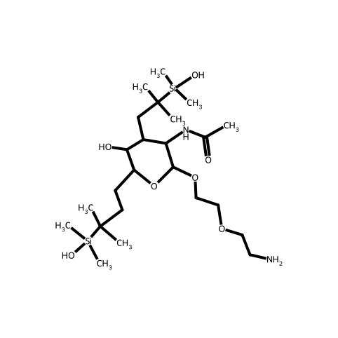 CC(=O)NC1C(OCCOCCN)OC(CCC(C)(C)[Si](C)(C)O)C(O)C1CC(C)(C)[Si](C)(C)O